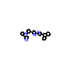 C1=Cc2c(cc(C3=CN=C(c4ccc(-c5cccc(-n6c7ccccc7c7cnccc76)c5)cn4)CC3)c3ccccc23)CC1